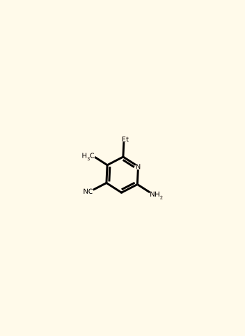 CCc1nc(N)cc(C#N)c1C